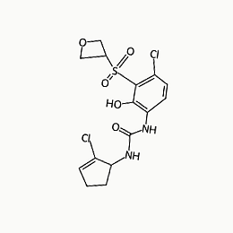 O=C(Nc1ccc(Cl)c(S(=O)(=O)C2COC2)c1O)NC1CCC=C1Cl